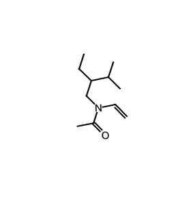 C=CN(CC(CC)C(C)C)C(C)=O